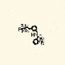 O=C(NCc1cccc(C2=NOC(O)(C(F)(F)F)C2)c1)c1ccccc1[N+](=O)[O-]